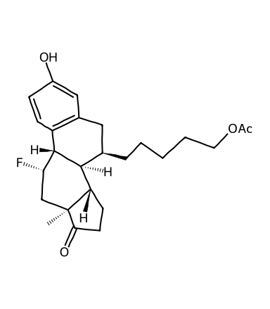 CC(=O)OCCCCC[C@@H]1Cc2cc(O)ccc2[C@@H]2[C@@H]1[C@@H]1CCC(=O)[C@@]1(C)C[C@@H]2F